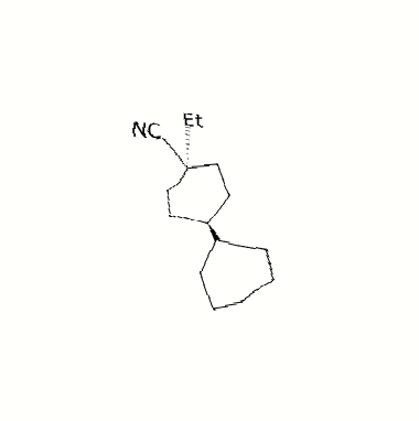 CC[C@]1(C#N)CC[C@@H](C2CCCCC2)CC1